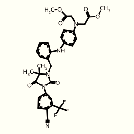 COC(=O)CN(CC(=O)OC)c1ccc(Nc2ccccc2CN2C(=O)N(c3ccc(C#N)c(C(F)(F)F)c3)C(=O)C2(C)C)cc1